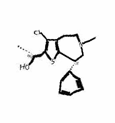 C[C@@H](O)c1sc2c(c1Cl)CCN(C)C[C@@H]2c1ccccc1